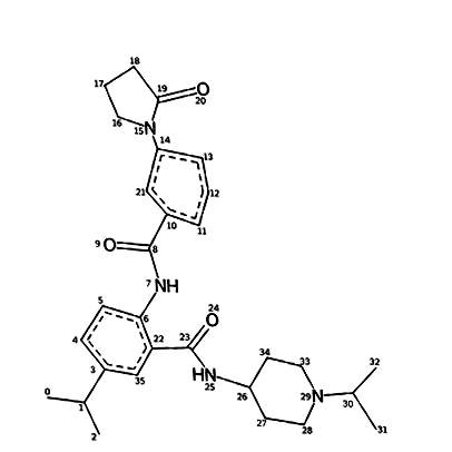 CC(C)c1ccc(NC(=O)c2cccc(N3CCCC3=O)c2)c(C(=O)NC2CCN(C(C)C)CC2)c1